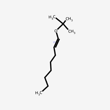 CCCCCC/C=C/OC(C)(C)C